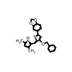 Cc1cc(C)c(/C=C2\N=C(c3ccc4c(c3)OCO4)C=C2OCc2ccccc2)[nH]1